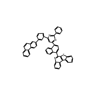 c1ccc(-c2nc(-c3cccc(-c4ccc5c(ccc6ccccc65)c4)c3)cc(-c3ccc(-c4nc5ccccc5c5c4sc4ccccc45)c4ccccc34)n2)cc1